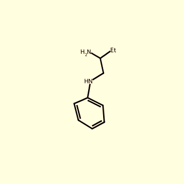 CCC(N)CNc1ccccc1